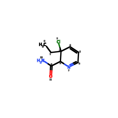 CCC1(Cl)C=CC=NC1C(N)=O